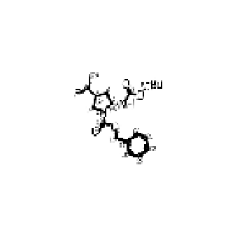 CC(C)(C)OC(=O)N[C@H]1C[C@H](C(F)F)CN1C(=O)OCc1ccccc1